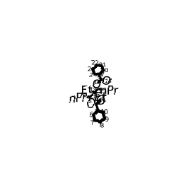 CCCC(OC(=O)c1ccccc1)C(CC)(CC)C(CCC)OC(=O)c1ccccc1